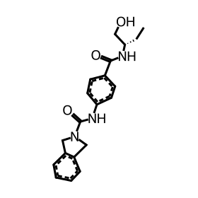 CC[C@@H](CO)NC(=O)c1ccc(NC(=O)N2Cc3ccccc3C2)cc1